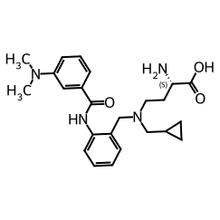 CN(C)c1cccc(C(=O)Nc2ccccc2CN(CC[C@H](N)C(=O)O)CC2CC2)c1